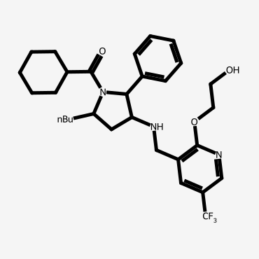 CCCCC1CC(NCc2cc(C(F)(F)F)cnc2OCCO)C(c2ccccc2)N1C(=O)C1CCCCC1